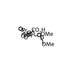 COCCCOc1cc(C[C@@H](CC(C(=O)O)C(=O)C[C@H](C(=O)N2C(=O)OC[C@@H]2Cc2ccccc2)C(C)C)C(C)C)ccc1OC